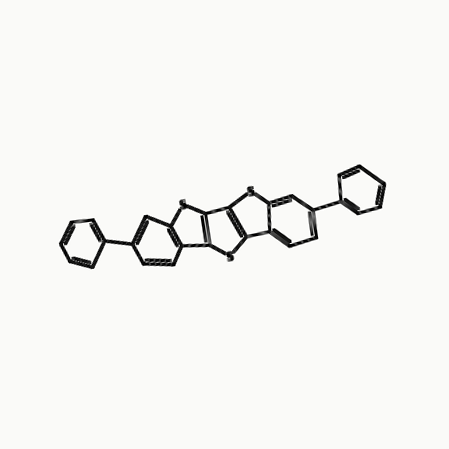 c1ccc(-c2ccc3c(c2)sc2c3sc3c4ccc(-c5ccccc5)cc4sc32)cc1